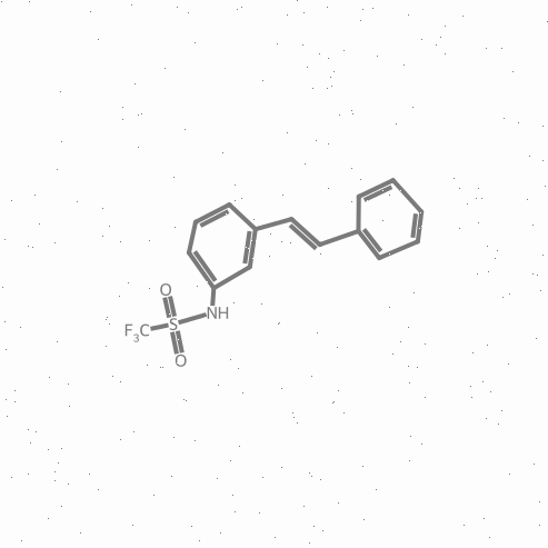 O=S(=O)(Nc1cccc(C=Cc2ccccc2)c1)C(F)(F)F